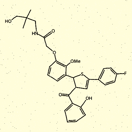 COc1c(OCC(=O)NCC(C)(C)CO)cccc1C1SC(c2ccc(F)cc2)=CC1C(=O)c1ccccc1O